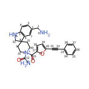 NCc1ccc2c(c1)C1(CC[N+](C(N)=O)(C(=O)c3ccc(C#Cc4ccccc4)o3)CC1)CN2